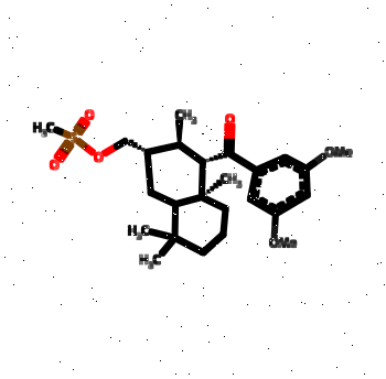 COc1cc(OC)cc(C(=O)[C@H]2[C@H](C)[C@@H](COS(C)(=O)=O)CC3C(C)(C)CCC[C@@]32C)c1